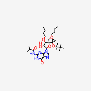 CCCCOC[C@@]1(C2(O[Si](C)(C)C(C)(C)C)CC2)O[C@@H](n2cnc3c(=O)[nH]c(NC(=O)C(C)C)nc32)C(O)C1OCCCC